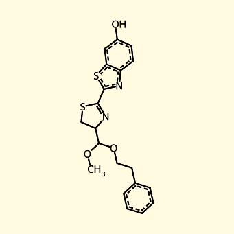 COC(OCCc1ccccc1)C1CSC(c2nc3ccc(O)cc3s2)=N1